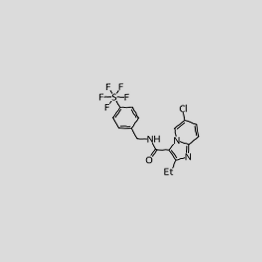 CCc1nc2ccc(Cl)cn2c1C(=O)NCc1ccc(S(F)(F)(F)(F)F)cc1